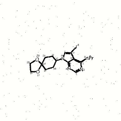 CCCc1ncnc2c1c(I)cn2C1CCC2(CC1)OCCO2